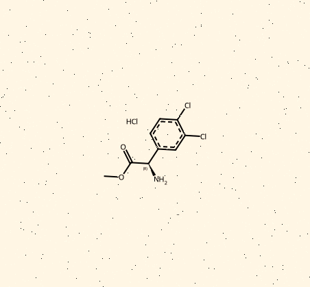 COC(=O)[C@H](N)c1ccc(Cl)c(Cl)c1.Cl